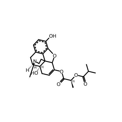 CC(C)C(=O)O[C@@H](C)C(=O)OC1=CC[C@@]2(O)[C@H]3Cc4ccc(O)c5c4C2(CCN3C)C1O5